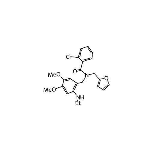 CCNc1cc(OC)c(OC)cc1CN(Cc1ccco1)C(=O)c1ccccc1Cl